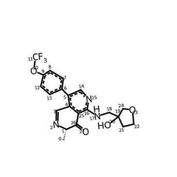 C[C@@H]1N=Cc2c(-c3ccc(OC(F)(F)F)cc3)cnc(NCC3(O)CCOC3)c2C1=O